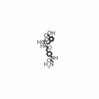 NCC(=O)NC1CCC(CC(=O)NC2Cc3cccc(C(=O)O)c3OB2O)CC1